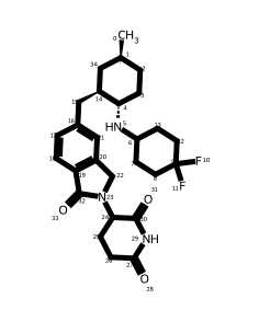 C[C@H]1CC[C@H](NC2CCC(F)(F)CC2)[C@@H](Cc2ccc3c(c2)CN(C2CCC(=O)NC2=O)C3=O)C1